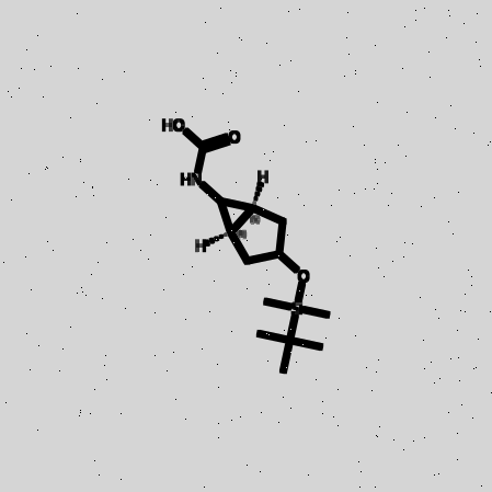 CC(C)(C)[Si](C)(C)OC1C[C@@H]2C(NC(=O)O)[C@@H]2C1